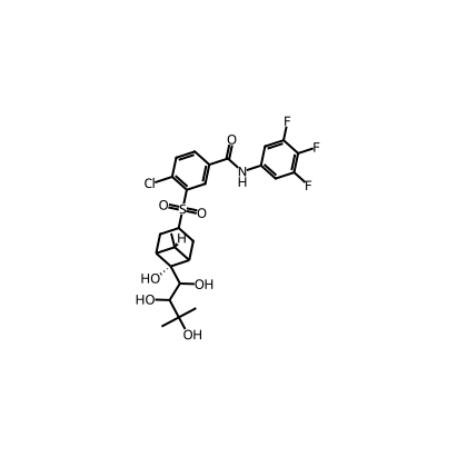 CC(C)(O)C(O)C(O)[C@]1(O)C2CC(S(=O)(=O)c3cc(C(=O)Nc4cc(F)c(F)c(F)c4)ccc3Cl)CC1[C@@H]2C